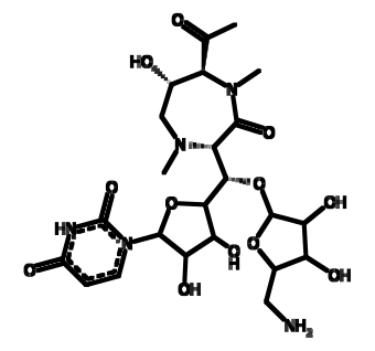 CC(=O)[C@@H]1[C@@H](O)CN(C)[C@@H]([C@H](OC2OC(CN)C(O)C2O)C2OC(n3ccc(=O)[nH]c3=O)C(O)C2O)C(=O)N1C